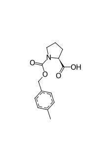 Cc1ccc(COC(=O)N2CCC[C@H]2C(=O)O)cc1